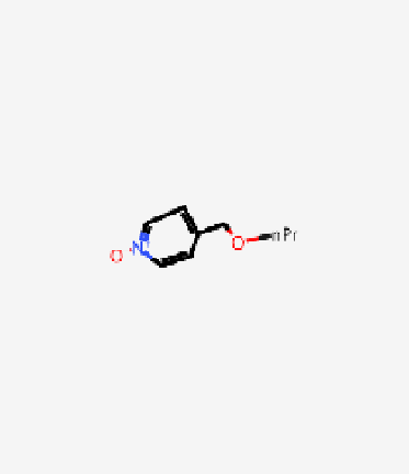 CCCOCc1cc[n+]([O-])cc1